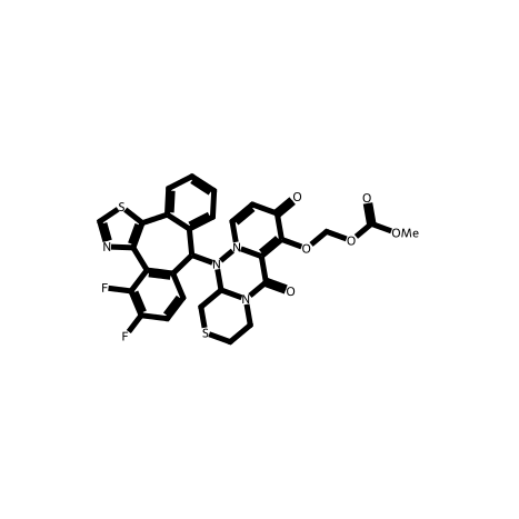 COC(=O)OCOc1c2n(ccc1=O)N(C1c3ccccc3-c3scnc3-c3c1ccc(F)c3F)C1CSCCN1C2=O